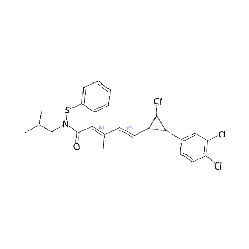 CC(/C=C/C1C(Cl)C1c1ccc(Cl)c(Cl)c1)=C\C(=O)N(CC(C)C)Sc1ccccc1